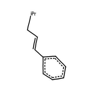 [CH2]C(C)C/C=C/c1ccccc1